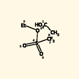 CC(=O)O.CCOS(=O)(=O)C(F)(F)F